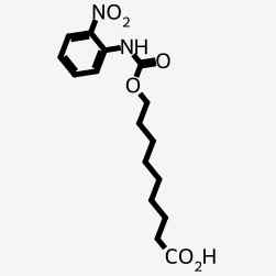 O=C(O)CCCCCCCCOC(=O)Nc1ccccc1[N+](=O)[O-]